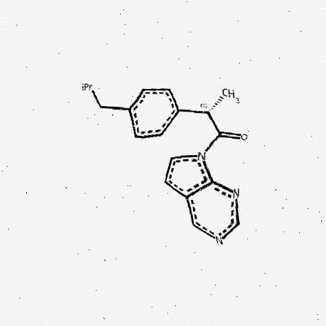 CC(C)Cc1ccc([C@H](C)C(=O)n2ccc3cncnc32)cc1